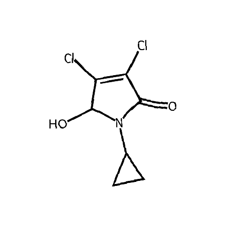 O=C1C(Cl)=C(Cl)C(O)N1C1CC1